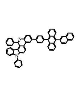 c1ccc(-c2nc3ccc(-c4ccc(-c5c6ccccc6c(-c6ccc7ccccc7c6)c6ccccc56)cc4)cc3c3ccc4c(c5ccccc5n4-c4ccccc4)c23)cc1